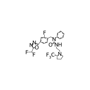 O=C(NCCN1CCC[C@H]1C(F)(F)F)N(Cc1ccc(-c2nnc(C(F)F)o2)cc1F)c1ccccc1